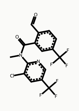 CN(C(=O)c1cc(C(F)(F)F)ccc1C=O)c1ncc(C(F)(F)F)cc1Cl